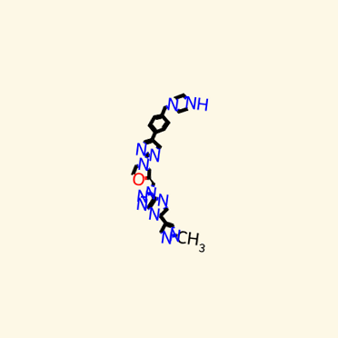 Cn1cc(-c2cnc3c(nnn3C[C@@H]3CN(c4ncc(-c5ccc(CN6CCNCC6)cc5)cn4)CCO3)n2)cn1